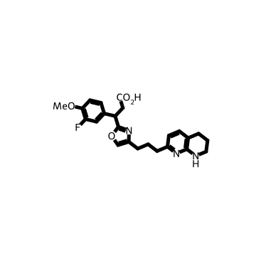 COc1ccc(C(CC(=O)O)c2nc(CCCc3ccc4c(n3)NCCC4)co2)cc1F